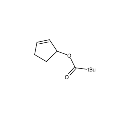 CC(C)(C)C(=O)OC1C=CCC1